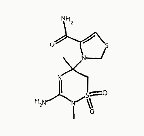 CN1C(N)=NC(C)(N2CSC=C2C(N)=O)CS1(=O)=O